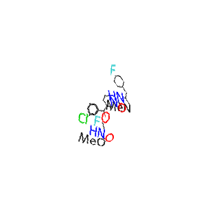 CNCC(CC1CCC(F)CC1)NC(=O)N1CCCC(C(OCCNC(=O)OC)c2cccc(Cl)c2F)C1